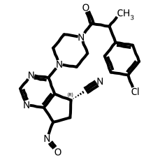 CC(C(=O)N1CCN(c2ncnc3c2[C@H](C#N)CC3N=O)CC1)c1ccc(Cl)cc1